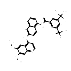 COc1cc2nccc(Oc3ccc4c(NC(=O)c5cc(C(F)(F)F)cc(C(F)(F)F)c5)cccc4c3)c2cc1OC